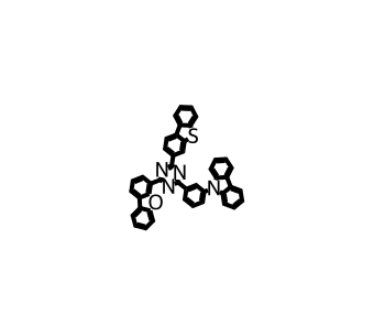 c1cc(-c2nc(-c3ccc4c(c3)sc3ccccc34)nc(-c3cccc4c3oc3ccccc34)n2)cc(-n2c3ccccc3c3ccccc32)c1